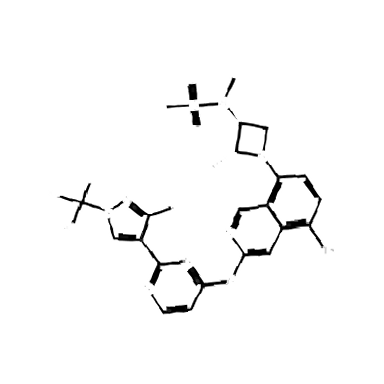 [2H]C([2H])([2H])n1cc(-c2nccc(Nc3cc4c(C(C)C)ccc(N5C[C@H](N(C)S(C)(=O)=O)[C@H]5C)c4cn3)n2)c(Cl)n1